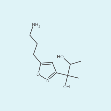 C[C](O)C(C)(O)c1cc(CCCN)on1